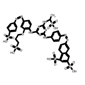 CC(Nc1nc(Nc2ccc(/N=N\c3ccc4c(S(=O)(=O)O)cc(S(=O)(=O)O)cc4c3)cc2)nc(Nc2ccc(/N=N\c3ccc(S(=O)(=O)O)cc3)cc2OCCCS(=O)(=O)O)n1)S(=O)(=O)O